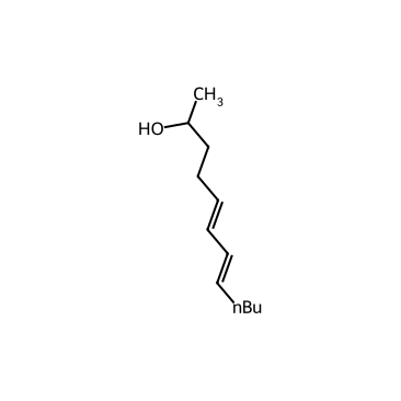 CCCCC=CC=CCCC(C)O